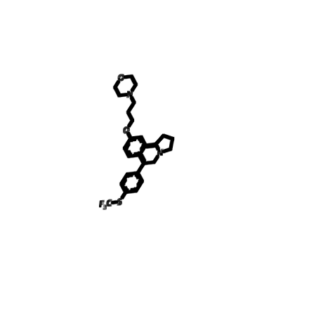 FC(F)(F)Sc1ccc(C2=c3ccc(OCCCN4CCOCC4)cc3=C3CCCN3C2)cc1